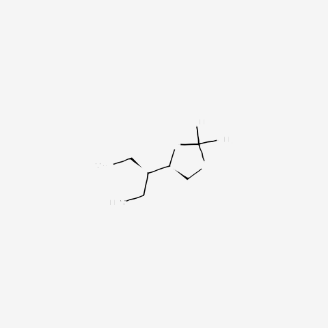 CSC[C@H](CN)[C@@H]1COC(C)(C)O1